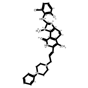 Cc1c(C=CCN2CCN(c3ccccc3)CC2)[nH]c(=O)c2c1ccc1nc(Nc3c(Cl)cccc3Cl)n(C)c12